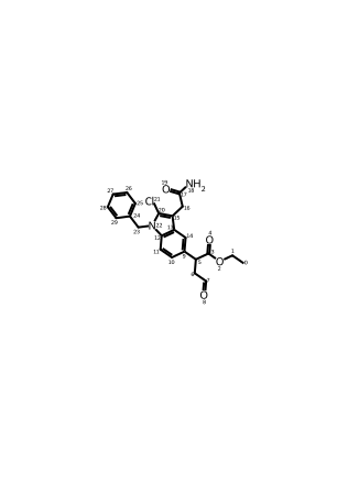 CCOC(=O)C(CC=O)c1ccc2c(c1)c(CC(N)=O)c(Cl)n2Cc1ccccc1